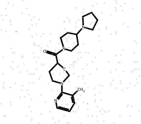 Cc1cccnc1N1CCC(C(=O)N2CCC(N3CCCC3)CC2)CC1